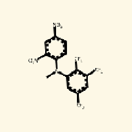 CN(c1ccc([N+](=O)[O-])cc1[N+](=O)[O-])c1cc(C(F)(F)F)cc(C(F)(F)F)c1C(F)(F)F